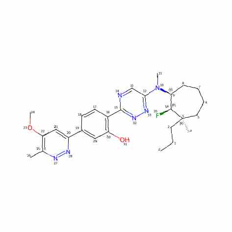 CCC[C@]1(C)CCCC[C@H](N(C)c2cnc(-c3ccc(-c4cc(OC)c(C)nn4)cc3O)nn2)[C@@H]1F